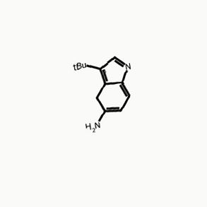 CC(C)(C)C1=C2CC(N)=CC=C2N=C1